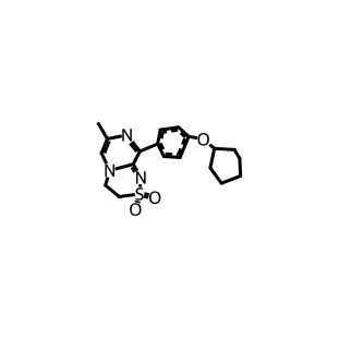 CC1=CN2CCS(=O)(=O)N=C2C(c2ccc(OC3CCCCC3)cc2)=N1